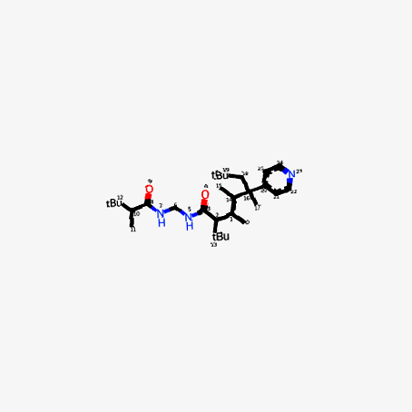 CC(C(C(=O)NCNC(=O)C(C)C(C)(C)C)C(C)(C)C)C(C)C(C)(CC(C)(C)C)c1ccncc1